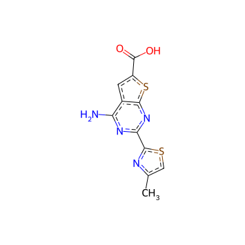 Cc1csc(-c2nc(N)c3cc(C(=O)O)sc3n2)n1